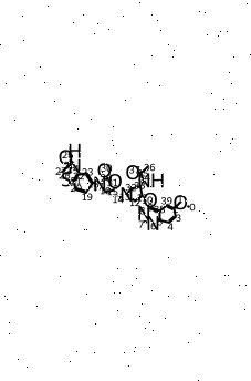 COc1ccc2ncnc(O[C@@H]3CN(C[C@@H]4CN(c5ccc6c(c5)NC(=O)CS6)C(=O)O4)C[C@H]3NC(C)=O)c2c1